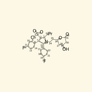 CC(C)c1c(S(=O)(=O)Cl)c(-c2ccc(F)cc2)c(-c2ccc(F)cc2)n1CCC1C[C@@H](O)CC(=O)O1